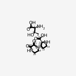 C[C@@H](O)[C@H](N)C(=O)O.O=C(O)[C@@H]1CCCN1.O=C1NCCNC1=O